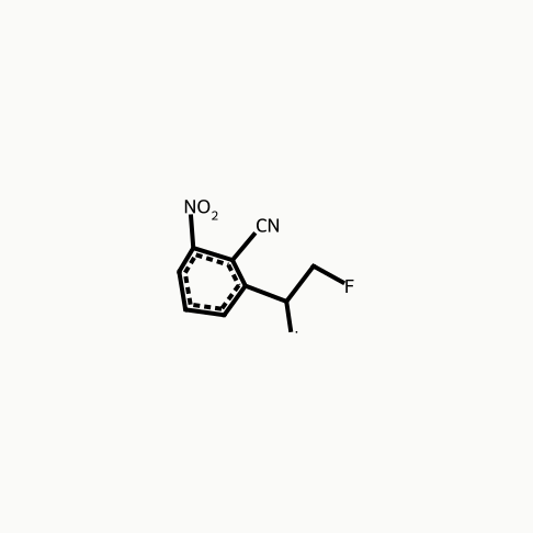 [CH2]C(CF)c1cccc([N+](=O)[O-])c1C#N